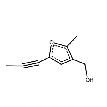 CC#Cc1cc(CO)c(C)o1